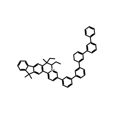 CCC1[n+]2cc(-c3cccc(-c4cccc(C5=CC(c6cccc(-c7ccccc7)c6)=CCC5)c4)c3)ccc2-c2cc3c(cc2C1(C)CC)-c1ccccc1C3(C)C